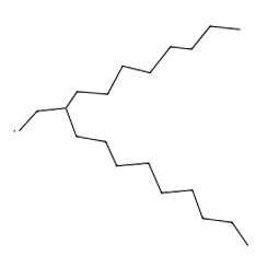 [CH2]CC(CCCCCCCC)CCCCCCCCC